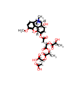 COc1ccc2c3c1O[C@@H]1C(OC(=O)C[C@H](OC(=O)[C@H](C)O)C(=O)O[C@@H](C)C(=O)O[C@H](CC(=O)O)C(=O)O)=CC[C@]4(O)[C@H](C2)N(C)CC[C@@]314